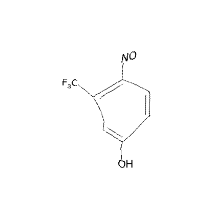 O=Nc1ccc(O)cc1C(F)(F)F